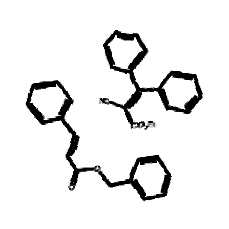 CCOC(=O)C(C#N)=C(c1ccccc1)c1ccccc1.O=C(C=Cc1ccccc1)OCc1ccccc1